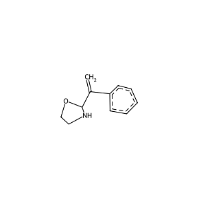 C=C(c1ccccc1)C1NCCO1